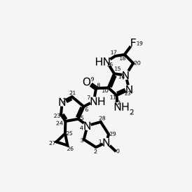 CN1CCN(c2c(NC(=O)c3c(N)nn4c3NCC(F)C4)cncc2C2CC2)CC1